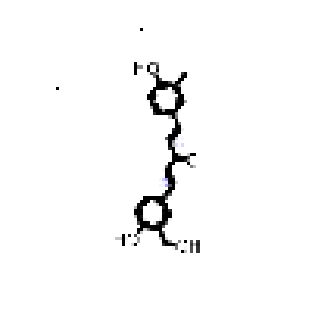 Cc1cc(/C=C/C(=O)/C=C/c2ccc(O)c(CO)c2)ccc1O